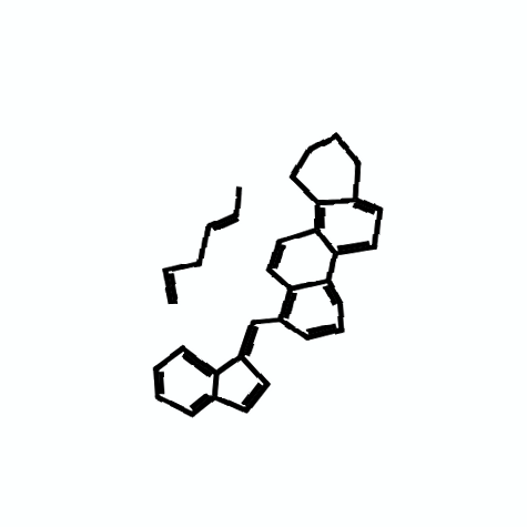 C1=Cc2ccccc2C1=Cc1cccc2c1ccc1c3c(ccc12)CCCC3.C=CCC=CC